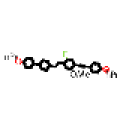 CCCOc1ccc(C#Cc2cc(F)c(CCc3ccc(-c4ccc(OCCC)cc4)cc3)cc2OC)cc1